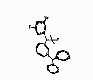 CC(C)(F)C(C1=CN(C(c2ccccc2)c2ccccc2)C=CC=C1)c1cc(F)cc(Br)c1